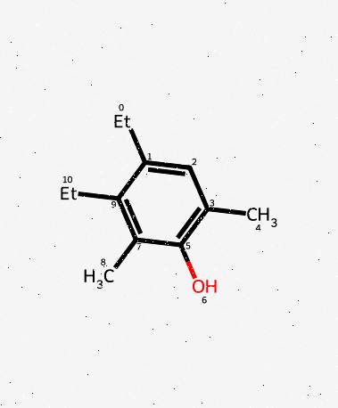 CCc1cc(C)c(O)c(C)c1CC